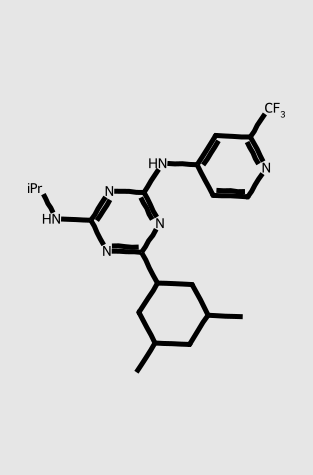 CC1CC(C)CC(c2nc(Nc3ccnc(C(F)(F)F)c3)nc(NC(C)C)n2)C1